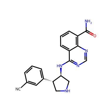 N#Cc1cccc([C@H]2CNC[C@@H]2Nc2ncnc3c(C(N)=O)cccc23)c1